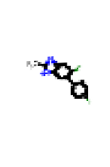 Fc1ccc(-c2cc3[nH]c(C(F)(F)F)nc3cc2Cl)cc1